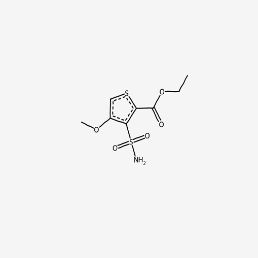 CCOC(=O)c1scc(OC)c1S(N)(=O)=O